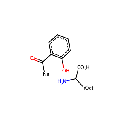 CCCCCCCCC(N)C(=O)O.O=[C]([Na])c1ccccc1O